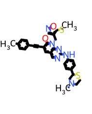 CSc1oncc1Cn1c(=O)c(C#Cc2ccc(C)cc2)cc2cnc(Nc3ccc(C4CN(C)CCS4)cc3)nc21